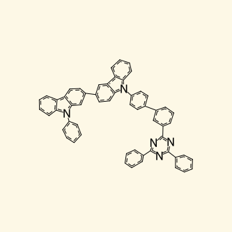 c1ccc(-c2nc(-c3ccccc3)nc(-c3cccc(-c4ccc(-n5c6ccccc6c6cc(-c7ccc8c9ccccc9n(-c9ccccc9)c8c7)ccc65)cc4)c3)n2)cc1